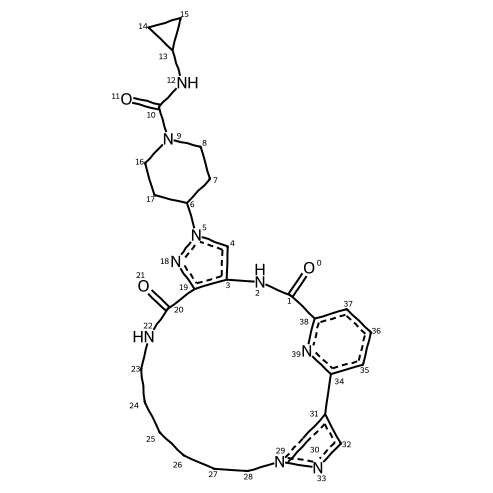 O=C1Nc2cn(C3CCN(C(=O)NC4CC4)CC3)nc2C(=O)NCCCCCCn2cc(cn2)-c2cccc1n2